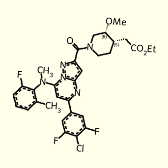 CCOC(=O)C[C@@H]1CCN(C(=O)c2cc3nc(-c4cc(F)c(Cl)c(F)c4)cc(N(C)c4c(C)cccc4F)n3n2)C[C@@H]1OC